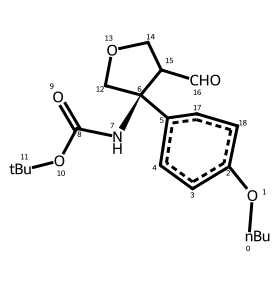 CCCCOc1ccc([C@]2(NC(=O)OC(C)(C)C)COCC2C=O)cc1